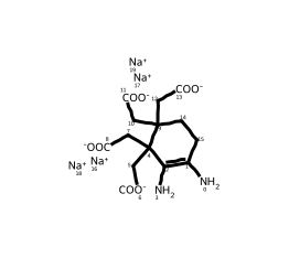 NC1=C(N)C(CC(=O)[O-])(CC(=O)[O-])C(CC(=O)[O-])(CC(=O)[O-])CC1.[Na+].[Na+].[Na+].[Na+]